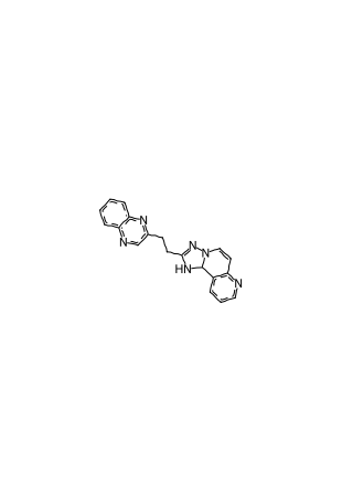 C1=CN2N=C(CCc3cnc4ccccc4n3)NC2c2cccnc21